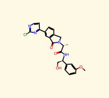 COc1cccc([C@@H](CO)NC(=O)[C@@H](C)N2Cc3ccc(-c4ccnc(Cl)n4)cc3C2=O)c1